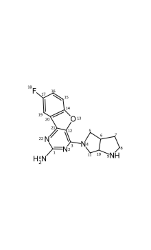 Nc1nc(N2CC3CCNC3C2)c2oc3ccc(F)cc3c2n1